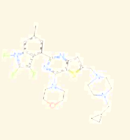 Cc1cc(-c2nc(N3CCOCC3)c3sc(CN4CCN(CC5CC5)CC4)cc3n2)c2c(F)c(F)n(F)c2c1